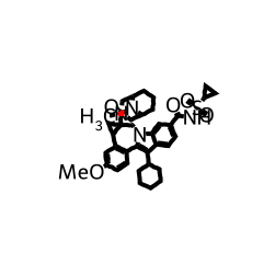 COc1ccc2c(c1)C1CC1(C(=O)N1C3CCCC1CN(C)C3)Cn1c-2c(C2CCCCC2)c2ccc(C(=O)NS(=O)(=O)C3CC3)cc21